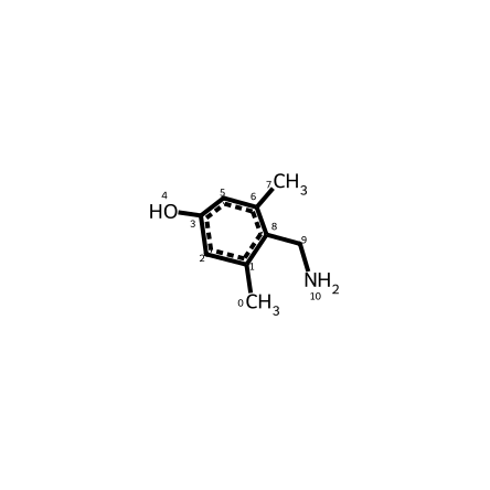 Cc1cc(O)cc(C)c1CN